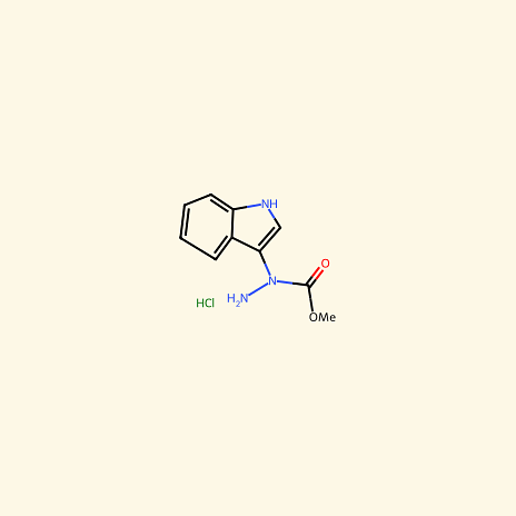 COC(=O)N(N)c1c[nH]c2ccccc12.Cl